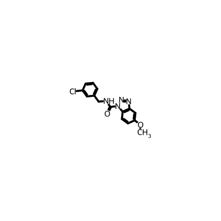 COc1ccc2c(c1)nnn2C(=O)NCc1cccc(Cl)c1